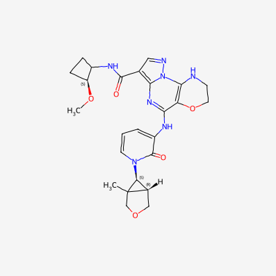 CO[C@H]1CCC1NC(=O)c1cnn2c3c(c(Nc4cccn([C@H]5[C@@H]6COCC56C)c4=O)nc12)OCCN3